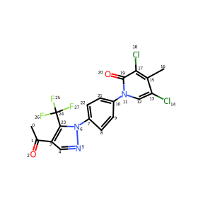 CC(=O)c1cnn(-c2ccc(-n3cc(Cl)c(C)c(Cl)c3=O)cc2)c1C(F)(F)F